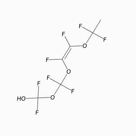 CC(F)(F)O/C(F)=C(/F)OC(F)(F)OC(O)(F)F